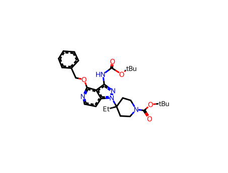 CCC1(n2nc(NC(=O)OC(C)(C)C)c3c(OCc4ccccc4)nccc32)CCN(C(=O)OC(C)(C)C)CC1